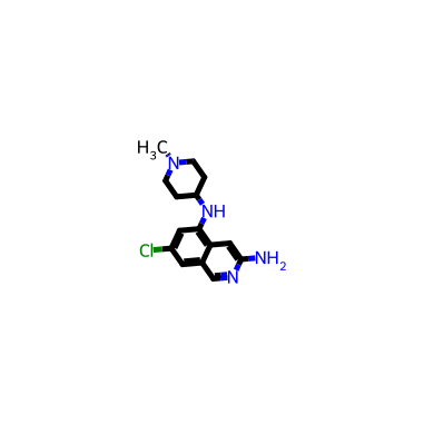 CN1CCC(Nc2cc(Cl)cc3cnc(N)cc23)CC1